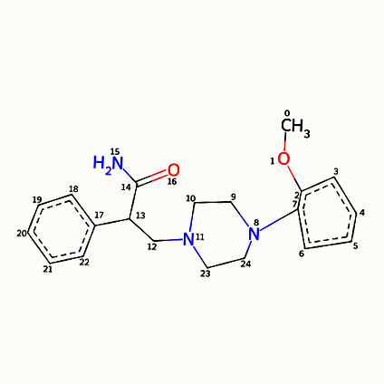 COc1ccccc1N1CCN(CC(C(N)=O)c2ccccc2)CC1